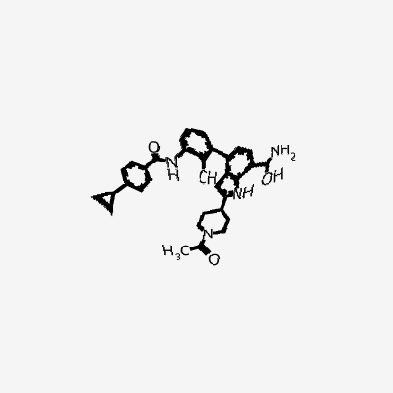 CC(=O)N1CCC(c2cc3c(-c4cccc(NC(=O)c5ccc(C6CC6)cc5)c4C)ccc(C(N)O)c3[nH]2)CC1